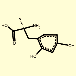 C[C@](N)(Cc1ccc(O)cc1O)C(=O)O